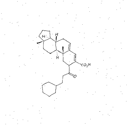 C[C@@]12CCC[C@H]1[C@@H]1CC=C3C=C(C(=O)O)C(C(=O)CCC4CCCCC4)C[C@]3(C)[C@H]1CC2